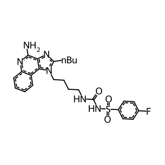 CCCCc1nc2c(N)nc3ccccc3c2n1CCCCNC(=O)NS(=O)(=O)c1ccc(F)cc1